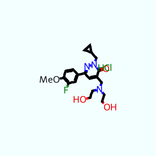 COc1ccc(-c2cc(CN(CCO)CCO)c(=O)n(CC3CC3)n2)cc1F.Cl